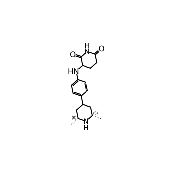 C[C@@H]1CC(c2ccc(NC3CCC(=O)NC3=O)cc2)C[C@H](C)N1